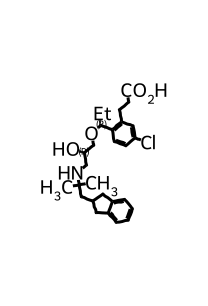 CC[C@@H](OC[C@H](O)CNC(C)(C)CC1Cc2ccccc2C1)c1ccc(Cl)cc1CCC(=O)O